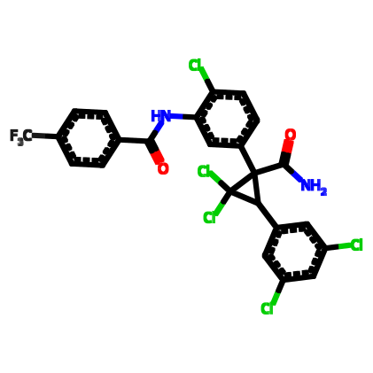 NC(=O)C1(c2ccc(Cl)c(NC(=O)c3ccc(C(F)(F)F)cc3)c2)C(c2cc(Cl)cc(Cl)c2)C1(Cl)Cl